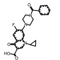 O=C(O)c1cn(C2CC2)c2cc(N3CCN(C(=O)c4ccccc4)CC3)c(F)cc2c1=O